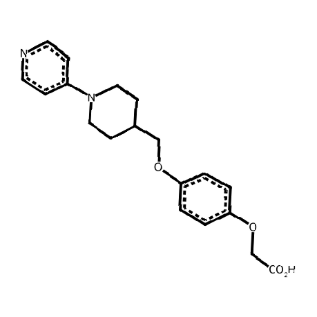 O=C(O)COc1ccc(OCC2CCN(c3ccncc3)CC2)cc1